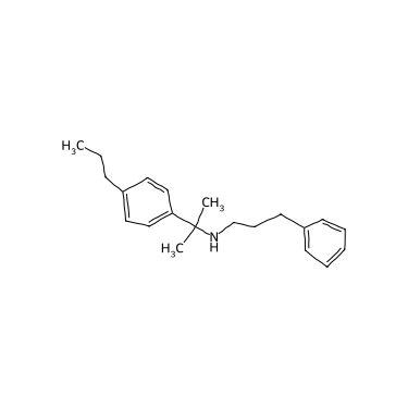 CCCc1ccc(C(C)(C)NCCCc2ccccc2)cc1